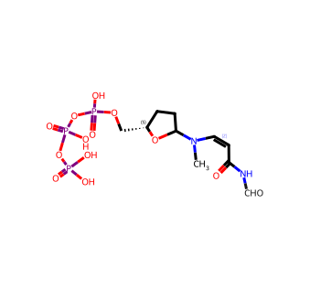 CN(/C=C\C(=O)NC=O)C1CC[C@@H](COP(=O)(O)OP(=O)(O)OP(=O)(O)O)O1